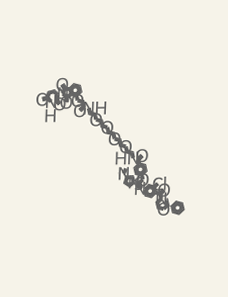 CN(C)[C@H]1CCN(/S(=N/c2ccc(C(=O)N3CCO[C@@H](c4ccccc4)C3)c(Cl)c2)Oc2ccc(C(=O)NCCOCCOCCOCCOCCNC(=O)COc3cccc4c3C(=O)N(C3CCC(=O)NC3=O)C4=O)cc2)C1